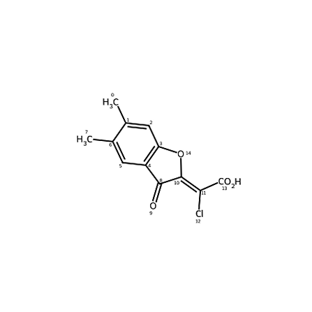 Cc1cc2c(cc1C)C(=O)C(=C(Cl)C(=O)O)O2